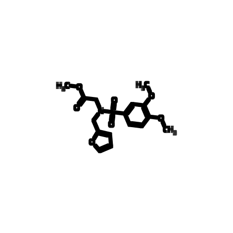 COC(=O)CN(Cc1ccco1)S(=O)(=O)c1ccc(OC)c(OC)c1